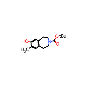 Cc1cc2c(cc1O)CCN(C(=O)OC(C)(C)C)CC2